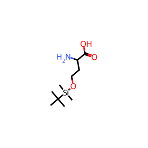 CC(C)(C)[Si](C)(C)OCCC(N)C(=O)O